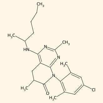 CCCCC(C)Nc1nc(C)nc2c1CC(C)C(=O)N2c1c(C)cc(Cl)cc1C